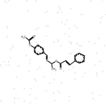 CC(=O)Oc1ccc(C=NC(C)OC(=O)C=Cc2ccccc2)cc1